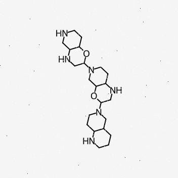 C1CNC2CCN(C3CNC4CCN(C5CNC6CNCCC6O5)CC4O3)CC2C1